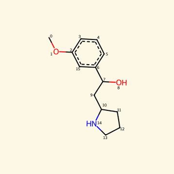 COc1cccc(C(O)CC2CCCN2)c1